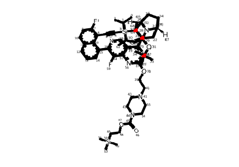 CC(C)[Si](C#Cc1c(F)ccc2cccc(-c3ncc4c(N5C[C@H]6CC[C@@H](C5)N6C(=O)OC(C)(C)C)nc(OCCN5CCN(C(=O)OCC[Si](C)(C)C)CC5)nc4c3F)c12)(C(C)C)C(C)C